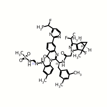 CCN(/N=C/NS(C)(=O)=O)c1cc(C)ccc1-n1c([C@H](Cc2cc(C)cc(C)c2)NC(=O)Cn2nc(C(C)F)c3c2C(C)(F)[C@@H]2C[C@H]32)nc2cc(-c3nccc(C(F)P)n3)ccc2c1=O